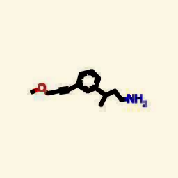 COCC#Cc1cccc(C(C)CCN)c1